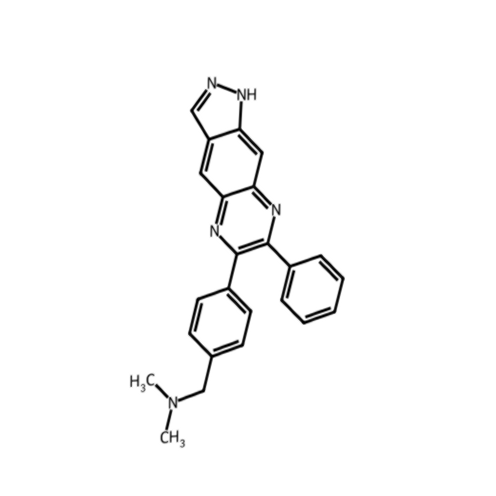 CN(C)Cc1ccc(-c2nc3cc4cn[nH]c4cc3nc2-c2ccccc2)cc1